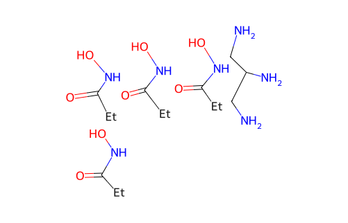 CCC(=O)NO.CCC(=O)NO.CCC(=O)NO.CCC(=O)NO.NCC(N)CN